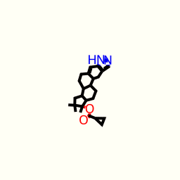 CC1(C)CC2C3CCC4=Cc5[nH]ncc5CC4C3CCC2C1(C)OC(=O)C1CC1